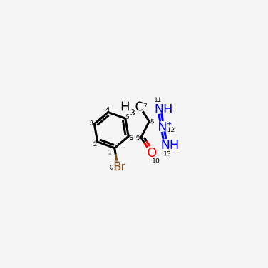 Brc1ccccc1.CCC=O.N=[N+]=N